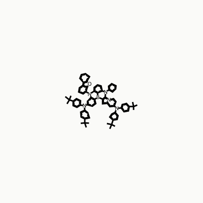 CC(C)(C)c1ccc(N(c2ccc(C(C)(C)C)cc2)c2ccc3c(c2)N(c2cccc4c2oc2ccccc24)c2cccc4c2B3c2cc3cc(N(c5ccc(C(C)(C)C)cc5)c5ccc(C(C)(C)C)cc5)ccn3c2N4c2ccccc2)cc1